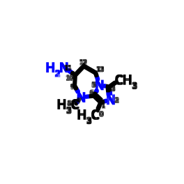 Cc1nc(C)n2c1N(C)CC(N)CC2